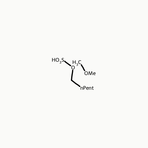 CCCCCCOS(=O)(=O)O.COC